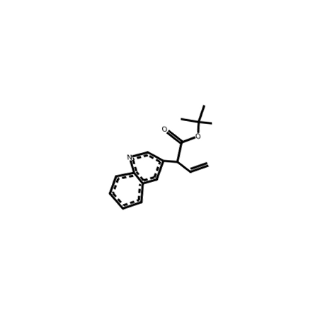 C=CC(C(=O)OC(C)(C)C)c1cnc2ccccc2c1